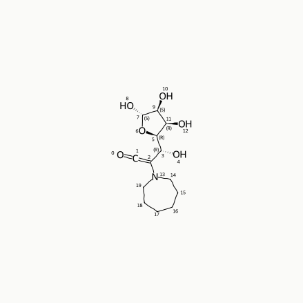 O=C=C([C@@H](O)[C@H]1O[C@H](O)[C@@H](O)[C@H]1O)N1CCCCCC1